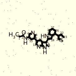 CCC(=O)Nc1cncc(-c2cnc3[nH]nc(-c4cc5c(-c6ccsc6)cccc5[nH]4)c3c2)c1